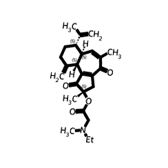 C=C1CC[C@H](C(=C)C)[C@H]2C=C(C)C(=O)C3=C(C(=O)[C@@](C)(OC(=O)CN(C)CC)C3)[C@H]12